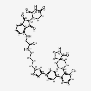 O=C(CNc1cccc2c1C(=O)N(C1CCC(=O)NC1=O)C2=O)NCCCCn1cc(-c2ccc(-c3cncc(Cl)c3N3CCC4(CCNC4=O)CC3)cc2)cn1